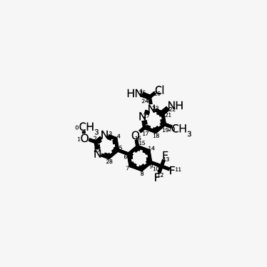 COc1ncc(-c2ccc(C(F)(F)F)cc2Oc2cc(C)c(=N)n(C(=N)Cl)n2)cn1